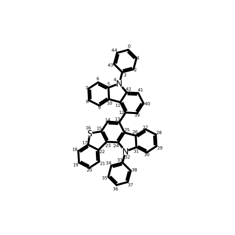 c1ccc(-n2c3ccccc3c3c(-c4cc5sc6ccccc6c5c5c4c4ccccc4n5-c4ccccc4)cccc32)cc1